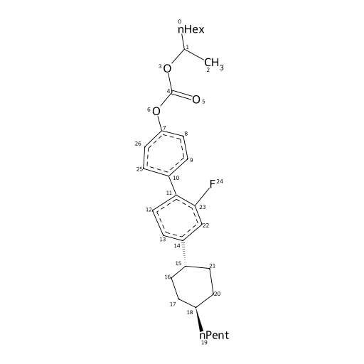 CCCCCCC(C)OC(=O)Oc1ccc(-c2ccc([C@H]3CC[C@H](CCCCC)CC3)cc2F)cc1